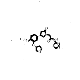 COc1ccc([C@@H]2CC(=O)N(CC(=O)Nc3nncs3)C2)cc1O[C@@H]1CCOC1